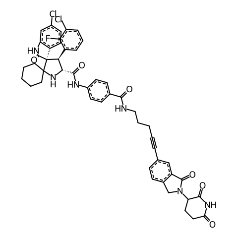 O=C1CCC(N2Cc3ccc(C#CCCCNC(=O)c4ccc(NC(=O)[C@@H]5NC6(CCCCC6)[C@@]6(C(=O)Nc7cc(Cl)ccc76)[C@H]5c5cccc(Cl)c5F)cc4)cc3C2=O)C(=O)N1